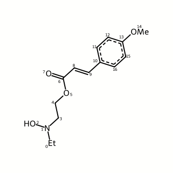 CCN(O)CCOC(=O)C=Cc1ccc(OC)cc1